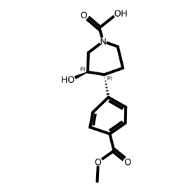 COC(=O)c1ccc([C@H]2CCN(C(=O)O)C[C@@H]2O)cc1